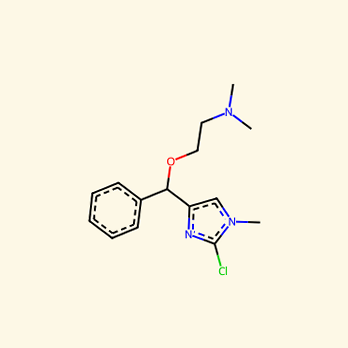 CN(C)CCOC(c1ccccc1)c1cn(C)c(Cl)n1